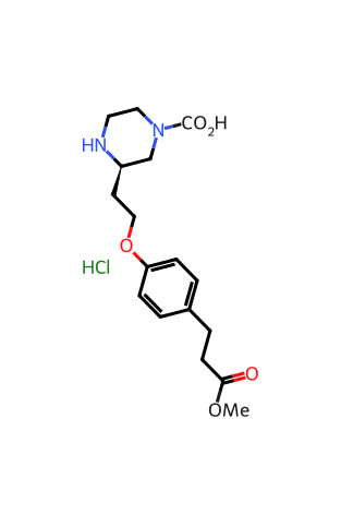 COC(=O)CCc1ccc(OCC[C@@H]2CN(C(=O)O)CCN2)cc1.Cl